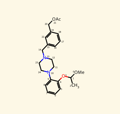 COC(C)Oc1ccccc1N1CCN(Cc2cccc(COC(C)=O)c2)CC1